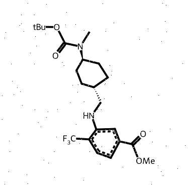 COC(=O)c1ccc(C(F)(F)F)c(NC[C@H]2CC[C@H](N(C)C(=O)OC(C)(C)C)CC2)c1